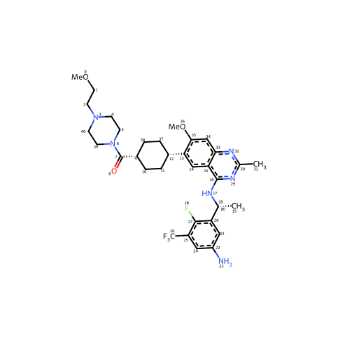 COCCN1CCN(C(=O)[C@H]2CC[C@@H](c3cc4c(N[C@H](C)c5cc(N)cc(C(F)(F)F)c5F)nc(C)nc4cc3OC)CC2)CC1